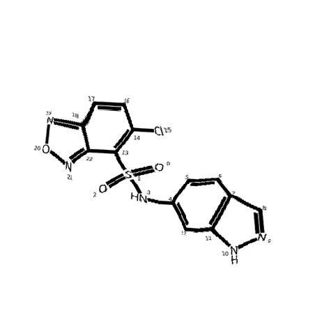 O=S(=O)(Nc1ccc2cn[nH]c2c1)c1c(Cl)ccc2nonc12